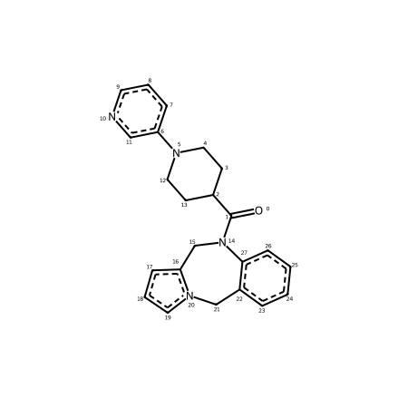 O=C(C1CCN(c2cccnc2)CC1)N1Cc2cccn2Cc2ccccc21